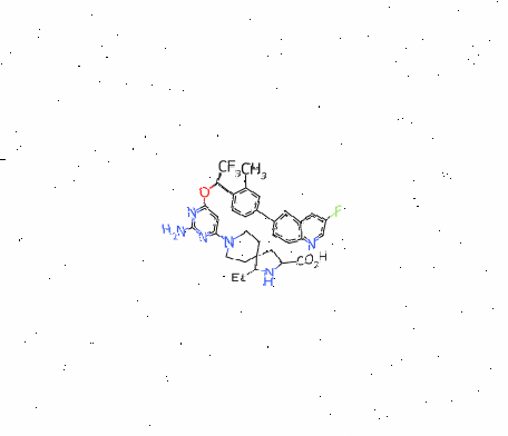 CCC1NC(C(=O)O)CC12CCN(c1cc(O[C@H](c3ccc(-c4ccc5ncc(F)cc5c4)cc3C)C(F)(F)F)nc(N)n1)CC2